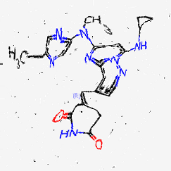 Cc1cnc(N(C)c2cc(NC3CC3)n3ncc(/C=C4\CC(=O)NC4=O)c3n2)cn1